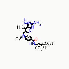 CCOC(=O)CC[C@H](NC(=O)c1ccc(N(C)Cc2cnc3nc(N)nc(N)c3c2C)cc1)C(=O)OCC